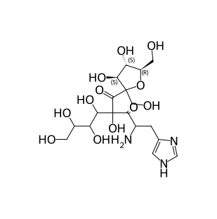 NC(Cc1c[nH]cn1)C(=O)C(O)(C(=O)C1(CO)O[C@H](CO)[C@@H](O)[C@@H]1O)C(O)C(O)C(O)CO